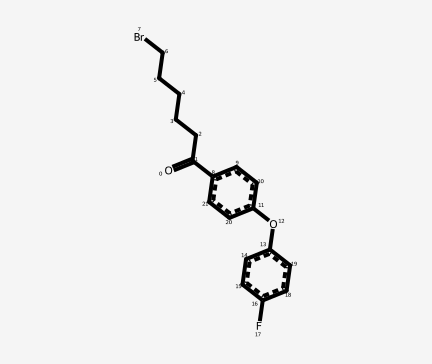 O=C(CCCCCBr)c1ccc(Oc2ccc(F)cc2)cc1